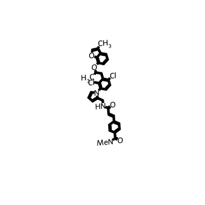 CNC(=O)c1ccc(C=CC(=O)NCc2cccn2-c2ccc(Cl)c(CC(C)Oc3cccc4c(C)coc34)c2Cl)cc1